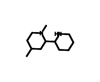 CC1CCN(C)C(C2CCCCN2)C1